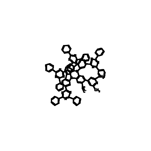 [C-]#[N+]c1cc(-n2c3cc(-c4nc(-c5ccccc5)nc(-c5ccccc5)n4)ccc3c3ccc(-c4nc(-c5ccccc5)nc(-c5ccccc5)n4)cc32)c(-n2c3cc(-c4nc(-c5ccccc5)nc(-c5ccccc5)n4)ccc3c3ccc(-c4nc(-c5ccccc5)nc(-c5ccccc5)n4)cc32)cc1-c1cc(C)nc(C)c1